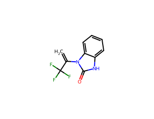 C=C(n1c(=O)[nH]c2ccccc21)C(F)(F)F